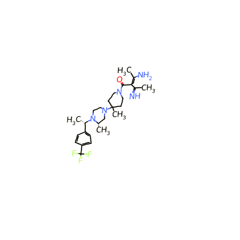 CC(=N)/C(C(=O)N1CCC(C)(N2CCN([C@@H](C)c3ccc(C(F)(F)F)cc3)[C@@H](C)C2)CC1)=C(/C)N